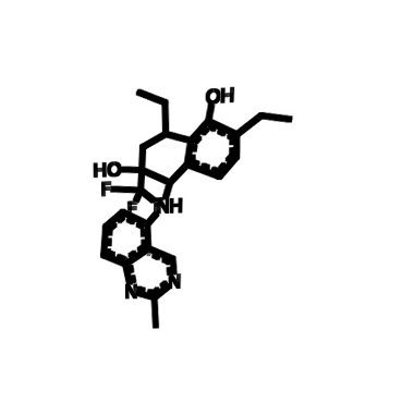 CCc1ccc2c(c1O)C(CC)CC(O)(C(F)(F)F)C2Nc1cccc2nc(C)ncc12